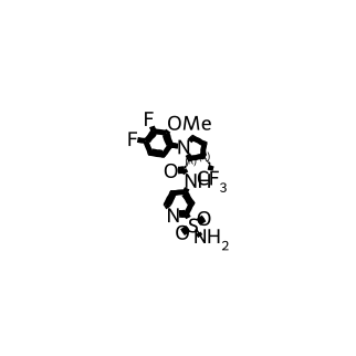 COc1c(N2CC[C@H](CC(F)(F)F)[C@@H]2C(=O)Nc2ccnc(S(N)(=O)=O)c2)ccc(F)c1F